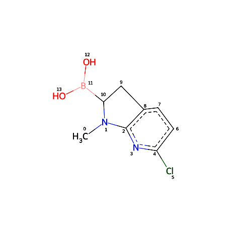 CN1c2nc(Cl)ccc2CC1B(O)O